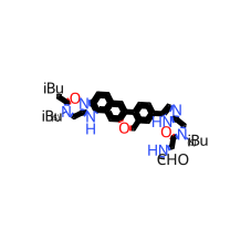 CCC(C)CC(=O)N(Cc1nc2ccc3cc4c(cc3c2[nH]1)OCc1cc(-c2cnc(CN(C(=O)CNC=O)[C@@H](C)CC)[nH]2)ccc1-4)[C@@H](C)CC